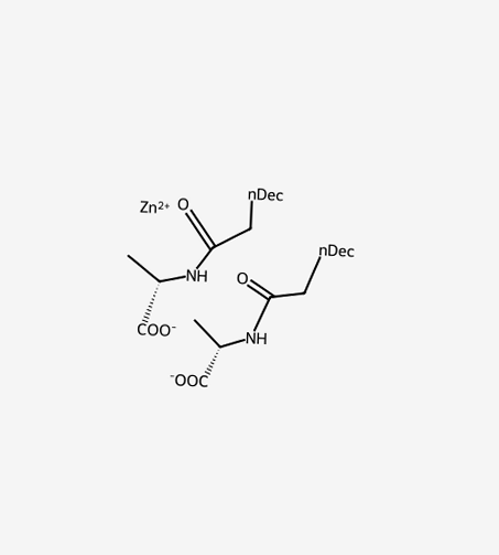 CCCCCCCCCCCC(=O)N[C@@H](C)C(=O)[O-].CCCCCCCCCCCC(=O)N[C@@H](C)C(=O)[O-].[Zn+2]